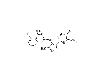 Cc1nc(-c2onc(C)c2NC(=O)OC(C)c2cccnc2F)ccc1Br